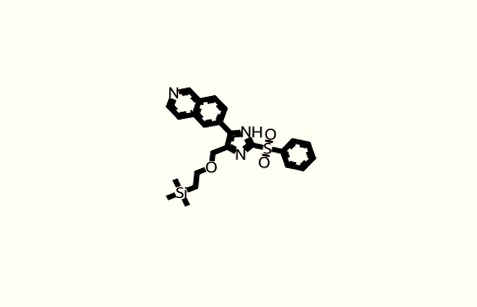 C[Si](C)(C)CCOCc1nc(S(=O)(=O)c2ccccc2)[nH]c1-c1ccc2cnccc2c1